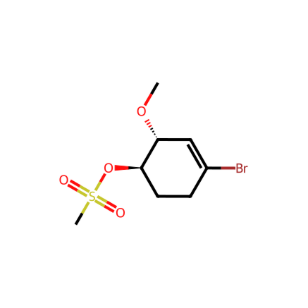 CO[C@@H]1C=C(Br)CC[C@H]1OS(C)(=O)=O